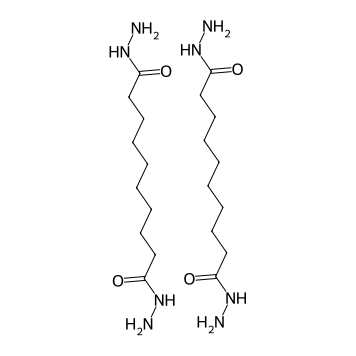 NNC(=O)CCCCCCCCC(=O)NN.NNC(=O)CCCCCCCCC(=O)NN